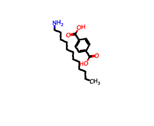 CCCCCCCCCCCCN.O=C(O)c1ccc(C(=O)O)cc1